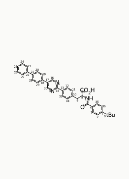 CC(C)(C)c1ccc(C(=O)NC(Cc2ccc(-c3ncc(-c4ccc(-c5ccccc5)cc4)cn3)cc2)C(=O)O)cc1